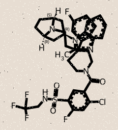 Cc1nc2ccccc2n1[C@H]1C[C@H]2CC[C@@H](C1)N2CCC1(c2cccc(F)c2)CCN(C(=O)c2cc(S(=O)(=O)NCC(F)(F)F)c(F)cc2Cl)CC1